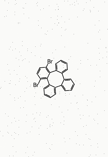 Brc1ccc(Br)c2c1-c1ccccc1-c1ccccc1-c1ccccc1-2